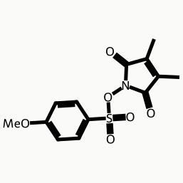 COc1ccc(S(=O)(=O)ON2C(=O)C(C)=C(C)C2=O)cc1